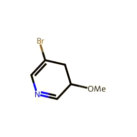 COC1C=NC=C(Br)C1